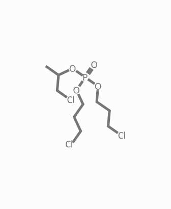 CC(CCl)OP(=O)(OCCCCl)OCCCCl